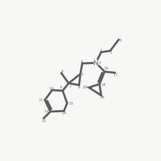 CCCN(CC1CC1(C)C1CC=C(C)CC1)C(C)=C1CC1